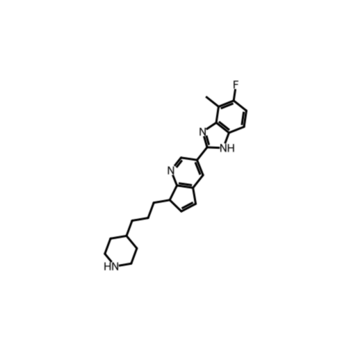 Cc1c(F)ccc2[nH]c(-c3cnc4c(c3)C=CC4CCCC3CCNCC3)nc12